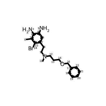 Cc1c(N)c(N)cc(CCN(C)CCCOCc2ccccc2)c1Br